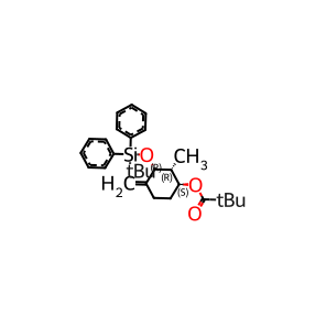 C=C1CC[C@H](OC(=O)C(C)(C)C)[C@@H](C)[C@H]1O[Si](c1ccccc1)(c1ccccc1)C(C)(C)C